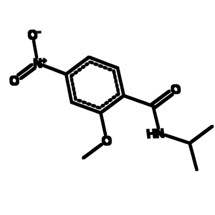 COc1cc([N+](=O)[O-])ccc1C(=O)NC(C)C